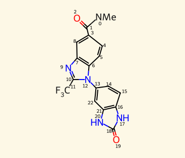 CNC(=O)c1ccc2c(c1)nc(C(F)(F)F)n2-c1ccc2[nH]c(=O)[nH]c2c1